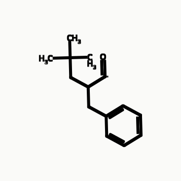 CC(C)(C)CC([C]=O)Cc1ccccc1